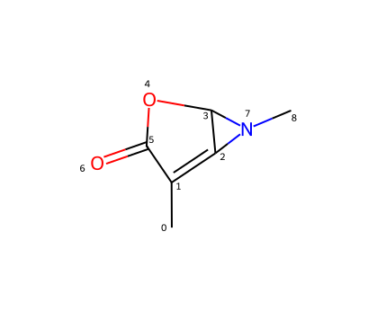 CC1=C2C(OC1=O)N2C